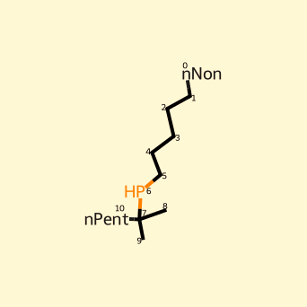 CCCCCCCCCCCCCCPC(C)(C)CCCCC